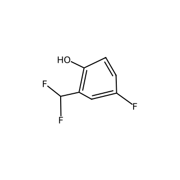 Oc1ccc(F)cc1C(F)F